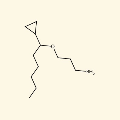 BCCCOC(CCCCC)C1CC1